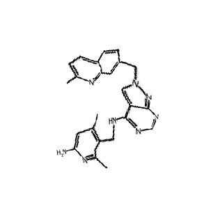 Cc1ccc2ccc(Cn3cc4c(NCc5c(C)cc(N)nc5C)ncnc4n3)cc2n1